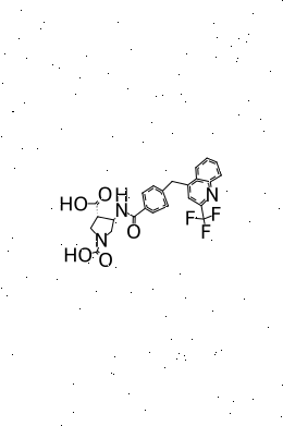 O=C(N[C@@H]1CN(C(=O)O)C[C@@H]1C(=O)O)c1ccc(Cc2cc(C(F)(F)F)nc3ccccc23)cc1